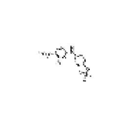 CCOC(=O)c1cnc(Nc2ccc(OS(C)(=O)=O)cc2)nc1O